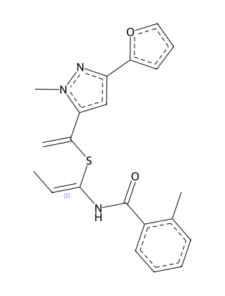 C=C(S/C(=C\C)NC(=O)c1ccccc1C)c1cc(-c2ccco2)nn1C